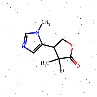 CCC1(C)C(=O)OCC1c1cncn1C